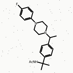 CC(=O)NC(C)(C)c1ccc(C(C)N2CCN(c3ccc(F)cc3)CC2)cc1